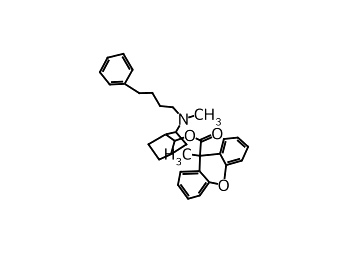 CN(CCCCc1ccccc1)C1CC2CCC1C2OC(=O)C1(C)c2ccccc2Oc2ccccc21